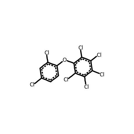 Clc1ccc(Oc2c(Cl)c(Cl)c(Cl)c(Cl)c2Cl)c(Cl)c1